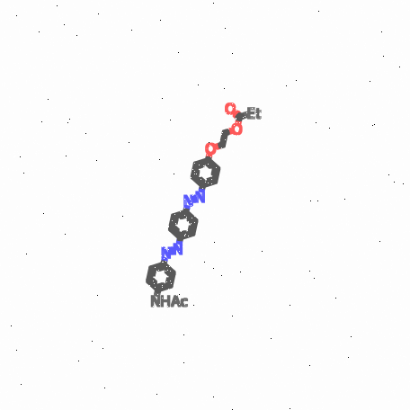 CCC(=O)OCCOc1ccc(N=Nc2ccc(N=Nc3ccc(NC(C)=O)cc3)cc2)cc1